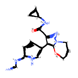 N=C/N=c1/ccc(-c2c(C(=O)NC3CC3)nn3c2OCCC3)c[nH]1